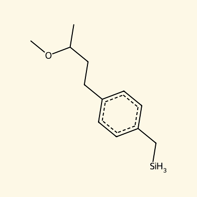 COC(C)CCc1ccc(C[SiH3])cc1